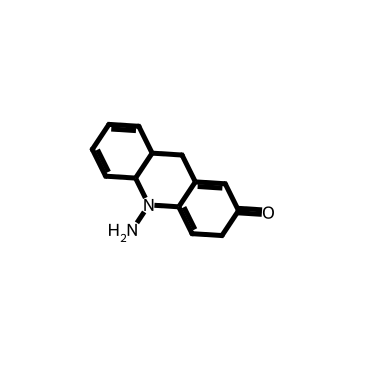 NN1C2=CCC(=O)C=C2CC2C=CC=CC21